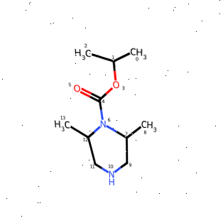 CC(C)OC(=O)N1C(C)CNCC1C